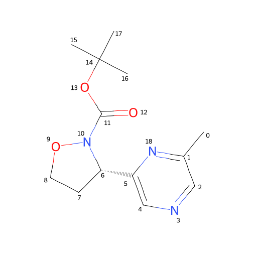 Cc1cncc([C@@H]2CCON2C(=O)OC(C)(C)C)n1